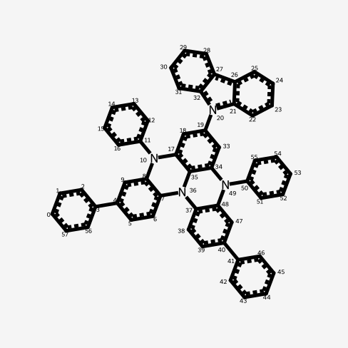 c1ccc(-c2ccc3c(c2)N(c2ccccc2)c2cc(-n4c5ccccc5c5ccccc54)cc4c2N3c2ccc(-c3ccccc3)cc2N4c2ccccc2)cc1